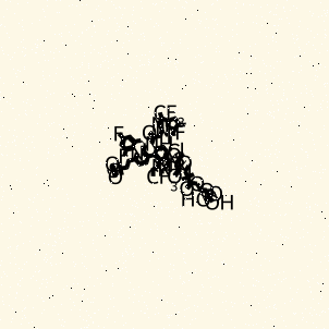 C[C@@H]1Cc2c(C(F)(F)F)nn(CC(=O)N[C@@H](Cc3cc(F)cc(F)c3)c3nc(CCC(C)(C)S(C)(=O)=O)ccc3-c3ccc(Cl)c4c(N(C(=O)N(C)C(C)(C)C(=O)OCOP(=O)(O)O)S(C)(=O)=O)nn(CC(F)(F)F)c34)c2C1(F)F